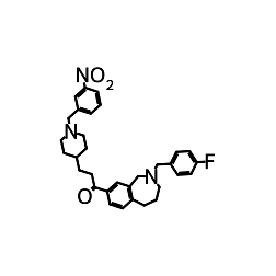 O=C(CCC1CCN(Cc2cccc([N+](=O)[O-])c2)CC1)c1ccc2c(c1)CN(Cc1ccc(F)cc1)CCC2